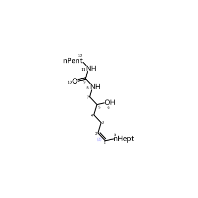 CCCCCCC/C=C\CCC(O)CNC(=O)NCCCCC